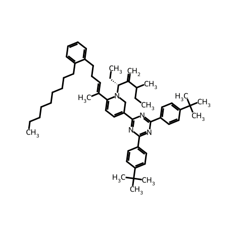 C=C(C(C)CC)[C@@H](CC)N1CC(c2nc(-c3ccc(C(C)(C)C)cc3)nc(-c3ccc(C(C)(C)C)cc3)n2)=CC=C1/C(C)=C/CCc1ccccc1CCCCCCCCC